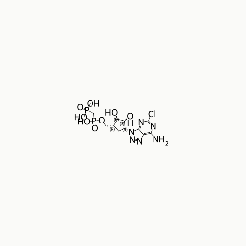 Nc1nc(Cl)nc2c1nnn2[C@@H]1C[C@H](COP(=O)(O)CP(=O)(O)O)[C@@H](O)[C@H]1O